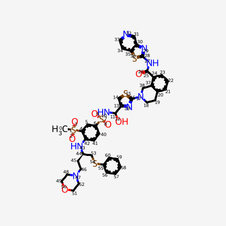 CS(=O)(=O)c1cc(S(=O)(=O)NC(O)c2csc(N3CCc4cccc(C(=O)Nc5nc6cnccc6s5)c4C3)n2)ccc1N[C@H](CCN1CCOCC1)CSc1ccccc1